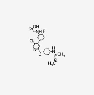 COC[C@H](C)N[C@H]1CC[C@H](Nc2cc(-c3ccc(F)c(NCC4(O)CC4)c3)c(Cl)cn2)CC1